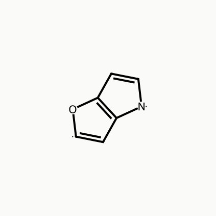 [c]1cc2c(o1)C=C[N]2